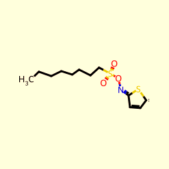 CCCCCCCCS(=O)(=O)ON=C1C=C[C]S1